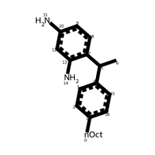 CCCCCCCCc1ccc(C(C)c2ccc(N)cc2N)cc1